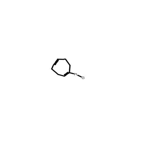 [Cl][Pt][C]1=CCCC=CCC1